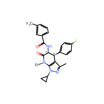 CCN1C(=O)[C@@H](NC(=O)c2cccc(C(F)(F)F)c2)[C@@H](c2ccc(F)cc2)c2c(C)nn(C3CC3)c21